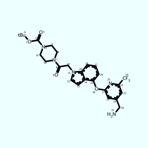 CC(C)(C)OC(=O)N1CCN(C(=O)Cn2ccc3c(Oc4cc(CN)cc(C(F)(F)F)n4)cccc32)CC1